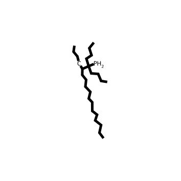 CCCCCCCCCCCCC(CCCC)C(P)(CCCC)CCCC